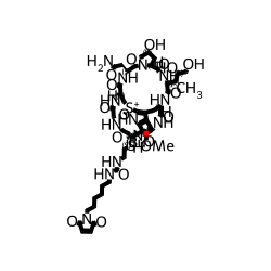 CC[C@H](C)[C@H]1NC(=O)CNC(=O)[C@@H]2Cc3c([nH]c4c(CSCCNC(=O)NCCCCCCN5C(=O)C=CC5=O)c(OC)ccc34)[S+]([O-])C[C@H](NC(=O)CNC1=O)C(=O)N[C@@H](CC(N)=O)C(=O)N1C[C@H](O)C[C@@H]1C(=O)N[C@@H]([C@@H](C)[C@@H](O)CO)C(=O)N2